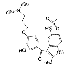 CCCCc1[nH]c2ccc(NS(C)(=O)=O)cc2c1C(=O)c1ccc(OCCCN(CCCC)CCCC)cc1.Cl